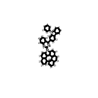 c1ccc(-n2c3ccccc3c3ccc(-c4nc(-n5c6ccc7cccc8c7c6c6c7c(ccc9cccc-8c97)ccc65)nc5ccccc45)cc32)cc1